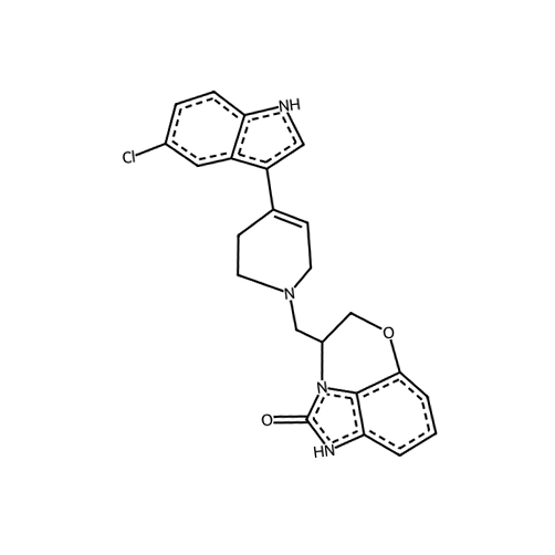 O=c1[nH]c2cccc3c2n1C(CN1CC=C(c2c[nH]c4ccc(Cl)cc24)CC1)CO3